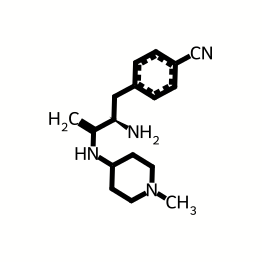 C=C(NC1CCN(C)CC1)[C@H](N)Cc1ccc(C#N)cc1